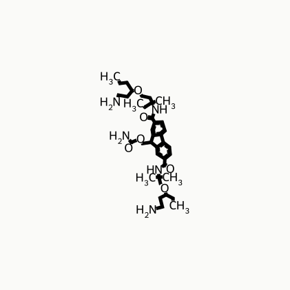 CCCC(CCN)OCCC(C)(CC)NC(=O)c1ccc2c(c1)C(COC(N)=O)c1cc(C(=O)NC(C)(C)COC(CC)CCN)ccc1-2